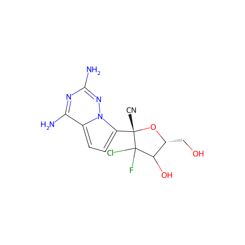 N#C[C@@]1(c2ccc3c(N)nc(N)nn23)O[C@H](CO)C(O)C1(F)Cl